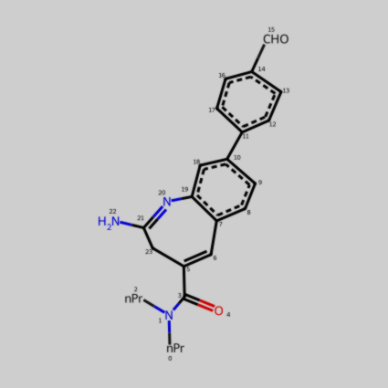 CCCN(CCC)C(=O)C1=Cc2ccc(-c3ccc(C=O)cc3)cc2N=C(N)C1